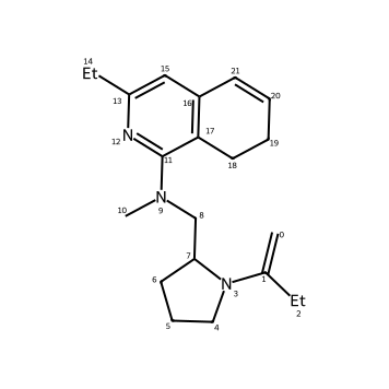 C=C(CC)N1CCCC1CN(C)c1nc(CC)cc2c1CCC=C2